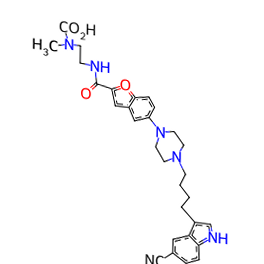 CN(CCNC(=O)c1cc2cc(N3CCN(CCCCc4c[nH]c5ccc(C#N)cc45)CC3)ccc2o1)C(=O)O